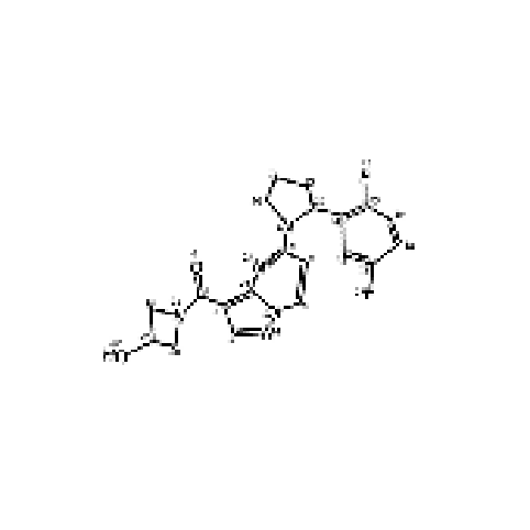 O=C(c1cnn2ccc(N3CCCC3c3cc(F)ccc3F)nc12)N1CC(O)C1